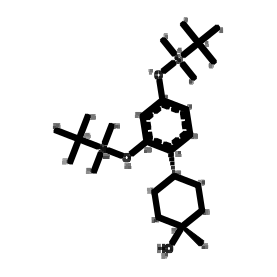 CC(C)(C)[Si](C)(C)Oc1ccc([C@H]2CC[C@@](C)(O)CC2)c(O[Si](C)(C)C(C)(C)C)c1